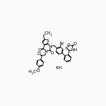 CCc1cc2c(=O)n(CC(=O)c3ccc(OC)cc3)c(=O)n(Cc3ccc(-c4ccccc4-c4noc(=O)[nH]4)cc3Br)c2s1.[KH]